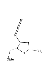 B[C@H]1CC(N=[N+]=[N-])[C@@H](COC)O1